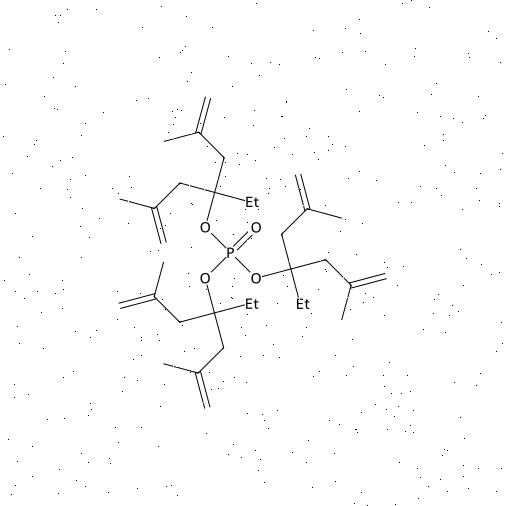 C=C(C)CC(CC)(CC(=C)C)OP(=O)(OC(CC)(CC(=C)C)CC(=C)C)OC(CC)(CC(=C)C)CC(=C)C